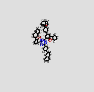 c1ccc2cc(-c3ccc(-c4nc(-c5cc(-c6ccc(C78CC9CC(CC(C9)C7)C8)cc6)cc6c5oc5ccccc56)nc(-c5cccc6c5oc5c7ccccc7ccc65)n4)cc3)ccc2c1